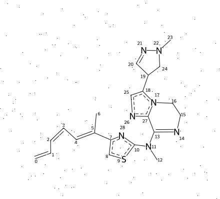 C=C/C=C\C=C(/C)c1csc(N(C)C2=NCCn3c(C4C=NN(C)C4)cnc32)n1